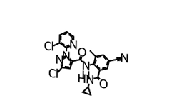 Cc1cc(C#N)cc(C(=O)NC2CC2)c1NC(=O)c1cc(Cl)nn1-c1ncccc1Cl